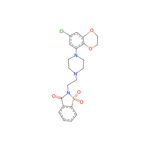 O=C1c2ccccc2S(=O)(=O)N1CCN1CCN(c2cc(Cl)cc3c2OCCO3)CC1